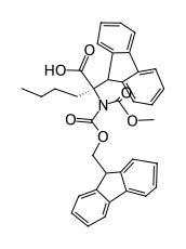 CCCC[C@](C(=O)O)(C1c2ccccc2-c2ccccc21)N(C(=O)OC)C(=O)OCC1c2ccccc2-c2ccccc21